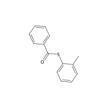 Cc1ccccc1SC(=O)c1ccccc1